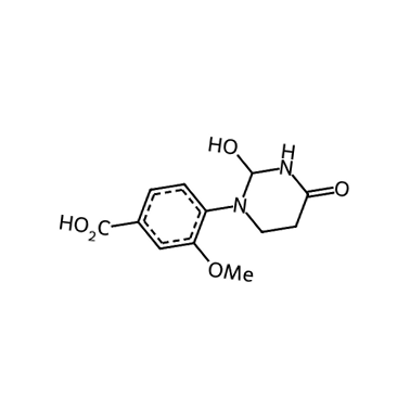 COc1cc(C(=O)O)ccc1N1CCC(=O)NC1O